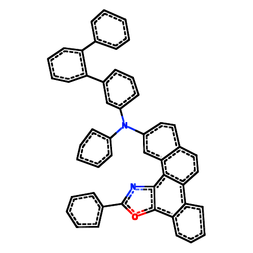 c1ccc(-c2nc3c(o2)c2ccccc2c2ccc4ccc(N(c5ccccc5)c5cccc(-c6ccccc6-c6ccccc6)c5)cc4c23)cc1